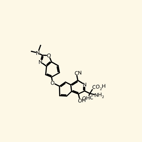 CN(C)c1nc2cc(Oc3ccc4c(O)c(C(N)(C=O)C(=O)O)nc(C#N)c4c3)ccc2o1